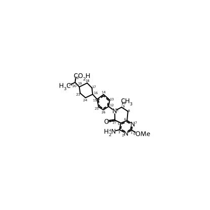 COc1nc(N)c2c(n1)C[C@@H](C)N(c1ccc(C3CCC(C(C)C(=O)O)CC3)cc1)C2=O